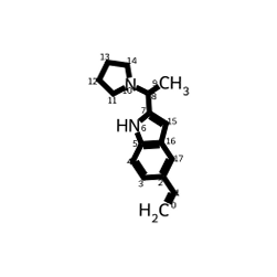 C=Cc1ccc2[nH]c(C(C)N3CCCC3)cc2c1